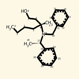 CCCC[C@](C)(CCO)N(Cc1ccccc1)[C@@H](C)c1ccccc1